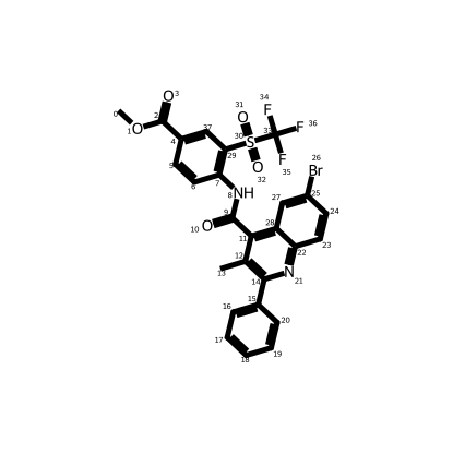 COC(=O)c1ccc(NC(=O)c2c(C)c(-c3ccccc3)nc3ccc(Br)cc23)c(S(=O)(=O)C(F)(F)F)c1